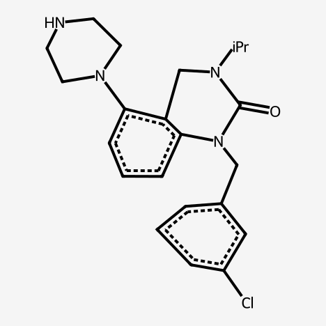 CC(C)N1Cc2c(N3CCNCC3)cccc2N(Cc2cccc(Cl)c2)C1=O